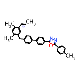 C/C=C/c1cc(Cc2ccc(-c3ccc(-c4nnc(-c5ccc(C)cc5)o4)cc3)cc2)c(C)cc1C